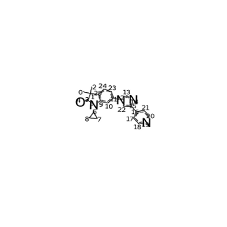 CC1(C)C(=O)N(C2CC2)c2cc(-n3cnc(-c4ccncc4)c3)ccc21